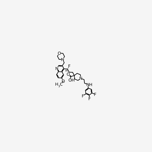 COc1ccc2ncc(CN3CCOCC3)c([C@H](F)CCC3(C(=O)O)CCN(CCNc4cc(F)c(F)c(F)c4)CC3)c2c1